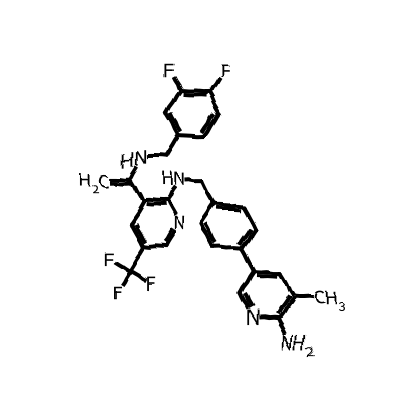 C=C(NCc1ccc(F)c(F)c1)c1cc(C(F)(F)F)cnc1NCc1ccc(-c2cnc(N)c(C)c2)cc1